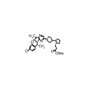 COC(=O)CC[C@@H]1CCCN1C1CCN(c2cnc3c(C)nn([C@H](C)c4ccc(Cl)cc4Cl)c3n2)CC1